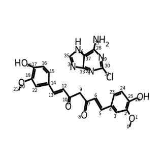 COc1cc(/C=C/C(=O)CC(=O)/C=C/c2ccc(O)c(OC)c2)ccc1O.Nc1nc(Cl)nc2nc[nH]c12